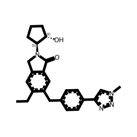 CCc1cc2c(cc1Cc1ccc(-c3cn(C)nn3)cc1)C(=O)N([C@H]1CCC[C@@H]1O)C2